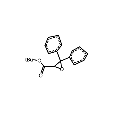 CC(C)(C)OC(=O)C1OC1(c1ccccc1)c1ccccc1